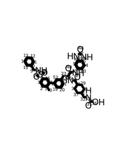 Cc1ccc(S(=O)(=O)NCc2ccccc2)cc1-c1cccc(C[C@H](NC(=O)C2CCC(CNC(=O)O)CC2)C(=O)Nc2ccc3[nH]c(=O)[nH]c3c2)c1